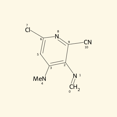 C=Nc1c(NC)cc(Cl)nc1C#N